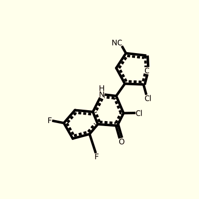 N#Cc1ccc(Cl)c(-c2[nH]c3cc(F)cc(F)c3c(=O)c2Cl)c1